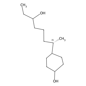 CCC(O)CCC[C@H](C)C1CCC(O)CC1